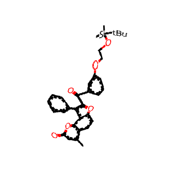 Cc1cc(=O)oc2c1ccc1oc(C(=O)c3cccc(OCCO[Si](C)(C)C(C)(C)C)c3)c(-c3ccccc3)c12